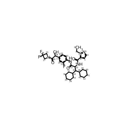 CCn1nccc1C(=O)NC(C(=O)Nc1ccc(C(C)C(=O)N2CC(F)(F)C2)cc1F)C(C1CCCCC1)C1CCCCC1